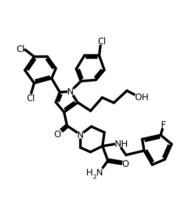 NC(=O)C1(NCc2cccc(F)c2)CCN(C(=O)c2cc(-c3ccc(Cl)cc3Cl)n(-c3ccc(Cl)cc3)c2CCCCO)CC1